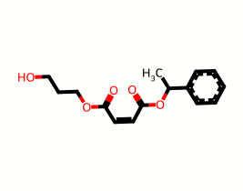 CC(OC(=O)/C=C\C(=O)OCCCO)c1ccccc1